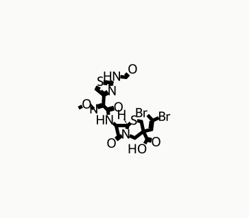 CON=C(C(=O)NC1C(=O)N2CC(C=C(Br)Br)(C(=O)O)CS[C@H]12)c1csc(NC=O)n1